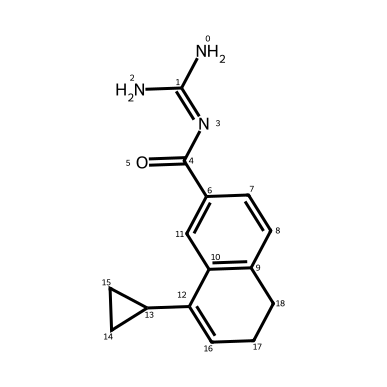 NC(N)=NC(=O)c1ccc2c(c1)C(C1CC1)=CCC2